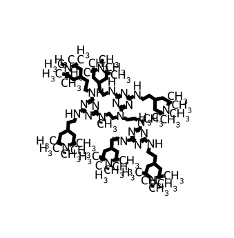 CN(CCN(CCN(C)c1nc(NCCC2CC(C)(C)N(C)C(C)(C)C2)nc(NCCC2CC(C)(C)N(C)C(C)(C)C2)n1)c1nc(NCCC2CC(C)(C)N(C)C(C)(C)C2)nc(NCCC2CC(C)(C)N(C)C(C)(C)C2)n1)c1nc(NCCC2CC(C)(C)N(C)C(C)(C)C2)nc(NCCC2CC(C)(C)N(C)C(C)(C)C2)n1